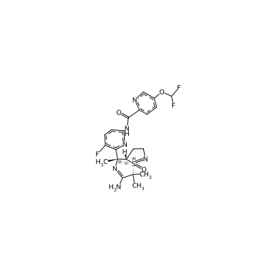 CC1(C)C(N)=N[C@](C)(c2nc(NC(=O)c3ccc(OC(F)F)cn3)ccc2F)[C@@H]2CCN=[S@@]21=O